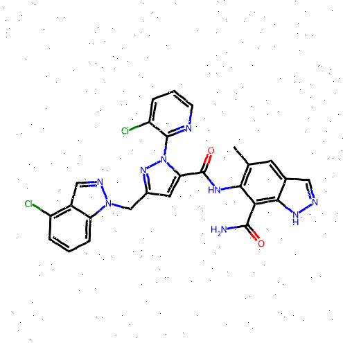 Cc1cc2cn[nH]c2c(C(N)=O)c1NC(=O)c1cc(Cn2ncc3c(Cl)cccc32)nn1-c1ncccc1Cl